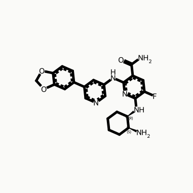 NC(=O)c1cc(F)c(N[C@@H]2CCCC[C@@H]2N)nc1Nc1cncc(-c2ccc3c(c2)OCO3)c1